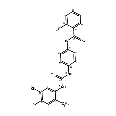 COc1cc(C)c(Cl)cc1NC(=S)Nc1ccc(NC(=O)c2ccccc2F)cc1